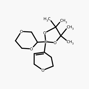 CC1(C)O[B-](C2=CCOCC2)(C2COCCO2)OC1(C)C